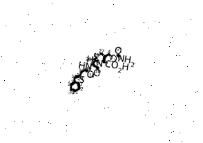 NC(=O)OCC1=C(C(=O)O)N2C(=O)C(NC(=O)Cc3cc4ccccc4s3)[C@@H]2SC1